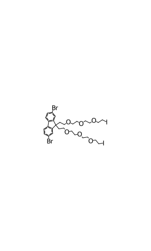 Brc1ccc2c(c1)C(CCOCCOCCOCCI)(CCOCCOCCOCCI)c1cc(Br)ccc1-2